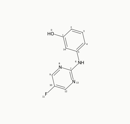 Oc1cccc(Nc2ncc(F)cn2)c1